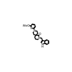 COc1cccc(N2CCC3(CCCN(Cc4c[nH]c5ccccc45)C3=O)CC2)n1